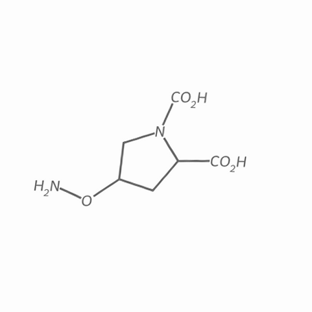 NOC1CC(C(=O)O)N(C(=O)O)C1